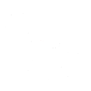 O=C(Oc1cccc(-c2ccccc2C(=O)O)c1)c1ccccc1